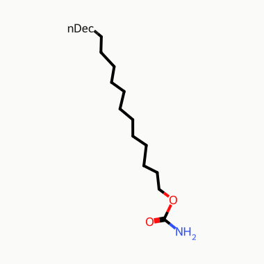 CCCCCCCCCCCCCCCCCCCCCCOC(N)=O